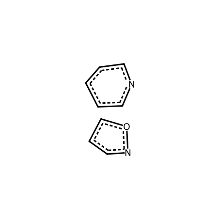 c1ccncc1.c1cnoc1